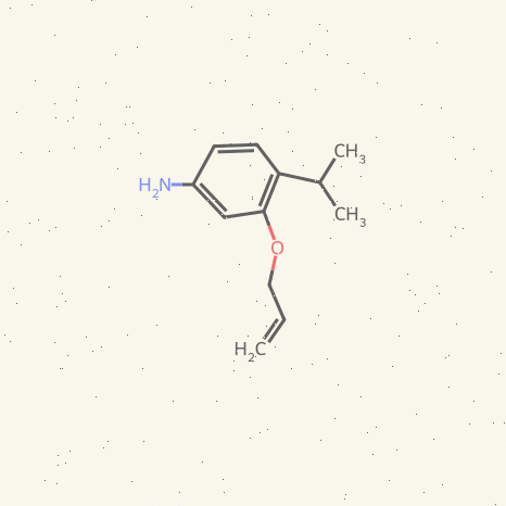 C=CCOc1cc(N)ccc1C(C)C